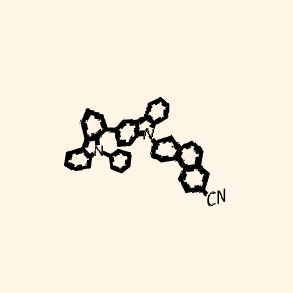 N#Cc1ccc2c(ccc3cc(-n4c5ccccc5c5cc(-c6cccc7c8ccccc8n(-c8ccccc8)c67)ccc54)ccc32)c1